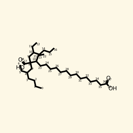 CCCCC(CC)CC(CC(CC)CCCC)(C(=O)O)C(CC)CCCCCCCCCCCCCC(=O)O